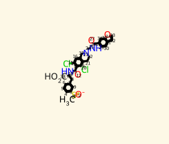 C[S+]([O-])c1cccc(C[C@H](NC(=O)c2c(Cl)cc3c(c2Cl)CCN(CNC(=O)c2ccc4ccoc4c2)C3)C(=O)O)c1